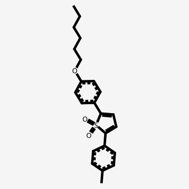 CCCCCCOc1ccc(C2=CC=C(c3ccc(C)cc3)S2(=O)=O)cc1